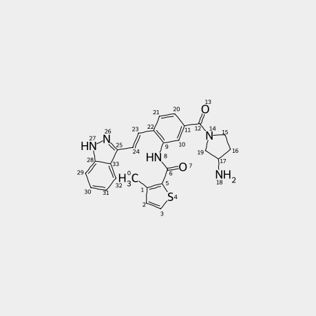 Cc1ccsc1C(=O)Nc1cc(C(=O)N2CCC(N)C2)ccc1C=Cc1n[nH]c2ccccc12